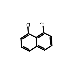 [2H]c1cccc2cccc(Cl)c12